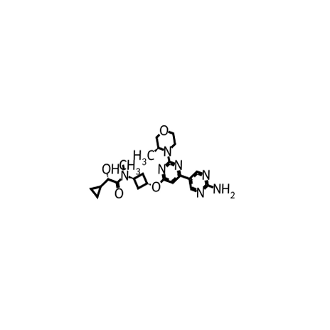 C[C@H]1COCCN1c1nc(O[C@H]2C[C@H](N(C)C(=O)[C@@H](O)C3CC3)C2)cc(-c2cnc(N)nc2)n1